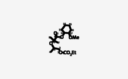 CCOC(=O)OCC(C)OC(C)(C)C(=O)OC1CCCCC1OC